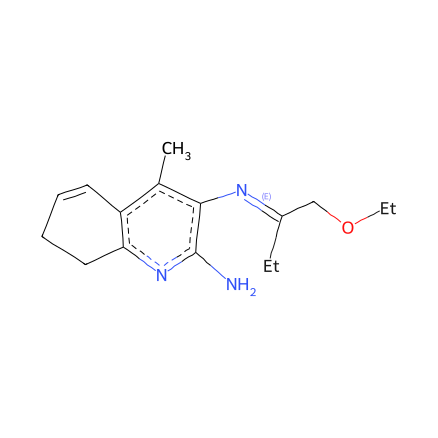 CCOC/C(CC)=N/c1c(N)nc2c(c1C)C=CCC2